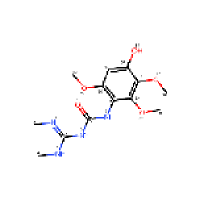 CN=C(NC)NC(=O)Nc1c(OC)cc(O)c(OC)c1OC